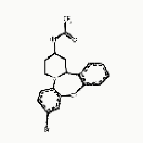 O=C(NC1CCN2c3ccc(Br)cc3Oc3ccccc3C2C1)C(F)(F)F